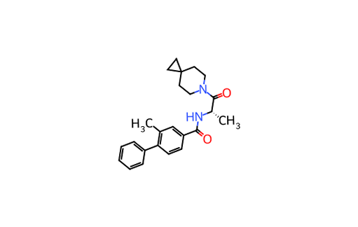 Cc1cc(C(=O)N[C@@H](C)C(=O)N2CCC3(CC2)CC3)ccc1-c1ccccc1